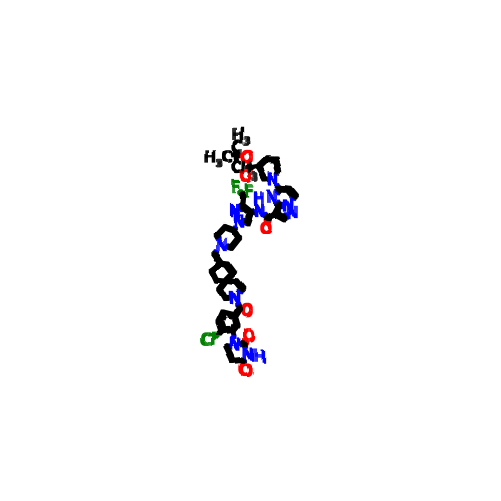 CC(C)(C)OC(=O)[C@H]1CCCN(c2ccn3ncc(C(=O)Nc4cn(C5CCN(CC6CCC7(CC6)CCN(C(=O)c6ccc(Cl)c(N8CCC(=O)NC8=O)c6)CC7)CC5)nc4C(F)F)c3n2)C1